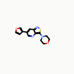 c1cc(-c2cnc3c(N4CCOCC4)snc3c2)co1